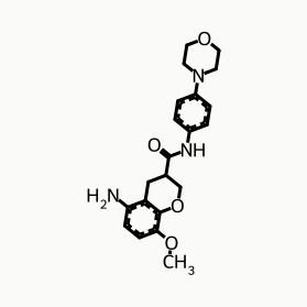 COc1ccc(N)c2c1OCC(C(=O)Nc1ccc(N3CCOCC3)cc1)C2